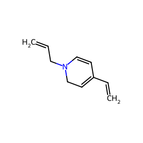 C=CCN1C=CC(C=C)=CC1